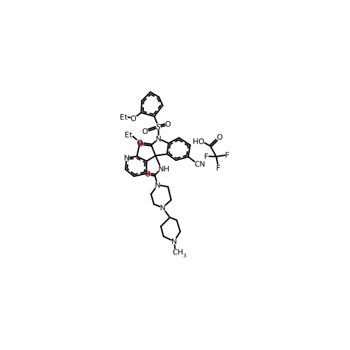 CCOc1ccccc1S(=O)(=O)N1C(=O)C(NC(=O)N2CCN(C3CCN(C)CC3)CC2)(c2cccnc2OCC)c2cc(C#N)ccc21.O=C(O)C(F)(F)F